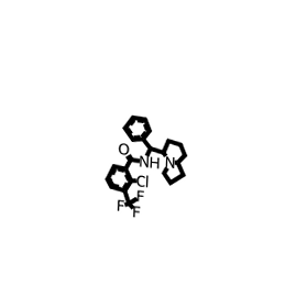 O=C(NC(c1ccccc1)C1CCCC2CCCN21)c1cccc(C(F)(F)F)c1Cl